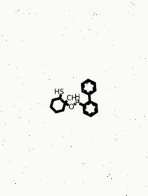 CC1(OPc2ccccc2-c2ccccc2)CCCCC1S